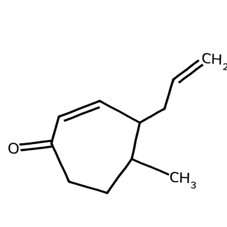 C=CCC1C=CC(=O)CCC1C